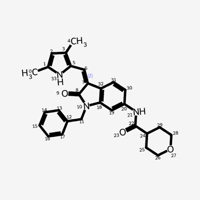 Cc1cc(C)c(/C=C2\C(=O)N(Cc3ccccc3)c3cc(NC(=O)C4CCOCC4)ccc32)[nH]1